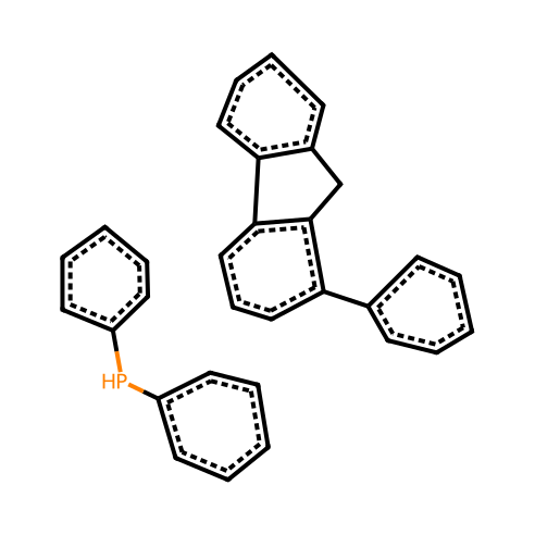 c1ccc(-c2cccc3c2Cc2ccccc2-3)cc1.c1ccc(Pc2ccccc2)cc1